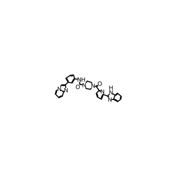 O=C(Nc1cccc(-c2cn3ccccc3n2)c1)N1CCN(C(=O)c2cccc(-c3nc4ccccc4[nH]3)n2)CC1